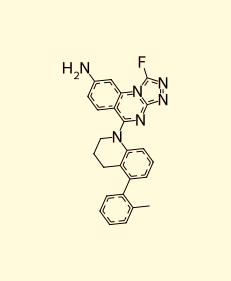 Cc1ccccc1-c1cccc2c1CCCN2c1nc2nnc(F)n2c2cc(N)ccc12